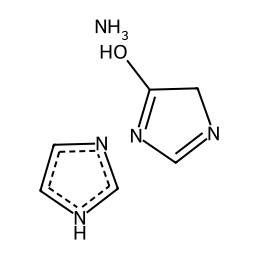 N.OC1=NC=NC1.c1c[nH]cn1